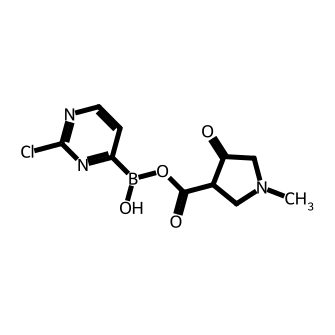 CN1CC(=O)C(C(=O)OB(O)c2ccnc(Cl)n2)C1